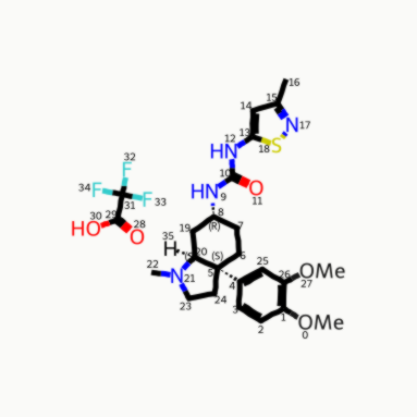 COc1ccc([C@@]23CC[C@@H](NC(=O)Nc4cc(C)ns4)C[C@@H]2N(C)CC3)cc1OC.O=C(O)C(F)(F)F